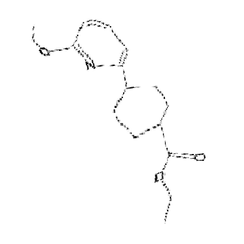 CCOC(=O)C1CCC(c2cccc(OC)n2)CC1